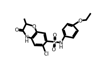 CCOc1ccc(NS(=O)(=O)c2cc3c(cc2Cl)NC(=O)C(C)O3)cc1